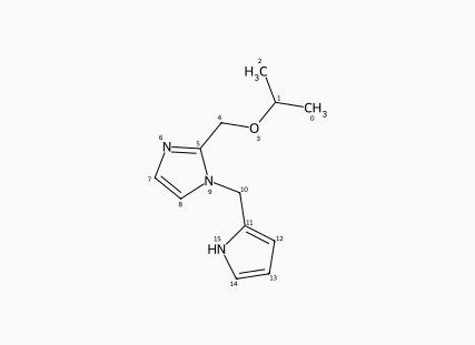 CC(C)OCc1nccn1Cc1ccc[nH]1